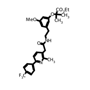 CCOC(=O)C(C)(C)Oc1cc(CCNC(=O)Cc2ccc(-c3ccc(C(F)(F)F)cc3)nc2C)cc(OC)c1